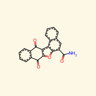 NC(=O)c1cc2ccccc2c2c3c(oc12)C(=O)c1ccccc1C3=O